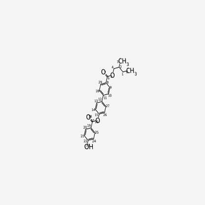 CCC(C)COC(=O)c1ccc(-c2ccc(OC(=O)c3ccc(O)cc3)cc2)cc1